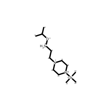 CC(C)O[SiH2]CCN1CCN([Si](C)(C)C)CC1